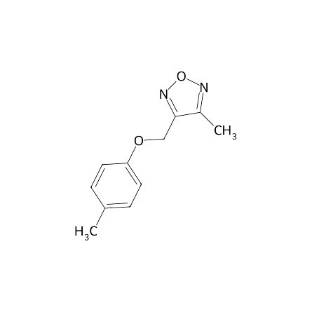 Cc1ccc(OCc2nonc2C)cc1